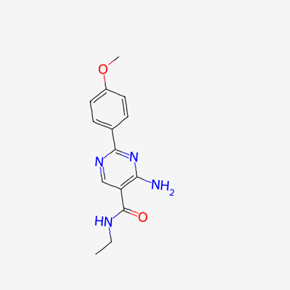 CCNC(=O)c1cnc(-c2ccc(OC)cc2)nc1N